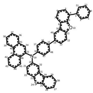 c1ccc(-c2cccc3c2oc2ccc(-c4ccc(N(c5ccc6sc7ccccc7c6c5)c5cc6ccccc6c6ccccc56)cc4)cc23)cc1